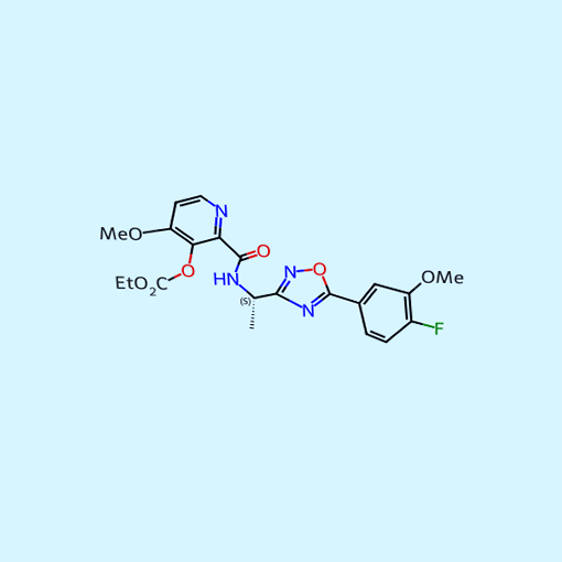 CCOC(=O)Oc1c(OC)ccnc1C(=O)N[C@@H](C)c1noc(-c2ccc(F)c(OC)c2)n1